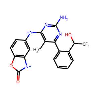 Cc1c(Nc2ccc3oc(=O)[nH]c3c2)nc(N)nc1-c1ccccc1C(O)C(F)(F)F